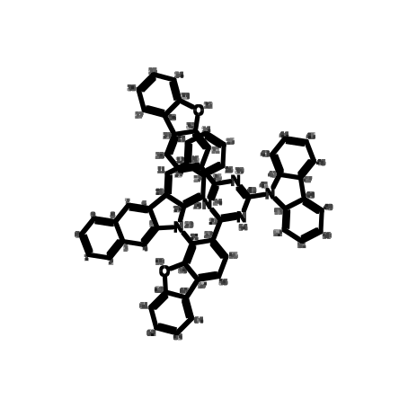 c1ccc2cc3c(cc2c1)c1cc2ccccc2cc1n3-c1c(-c2nc(-c3ccc4c(c3)oc3ccccc34)nc(-n3c4ccccc4c4ccccc43)n2)ccc2c1oc1ccccc12